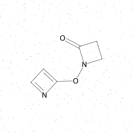 O=C1CCN1OC1=CC=N1